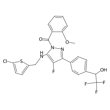 COc1ccccc1C(=O)n1nc(-c2ccc(C(O)C(F)(F)F)cc2)c(F)c1NCc1ccc(Cl)s1